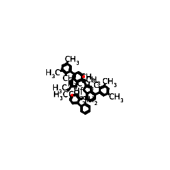 Cc1cc(C)c(C)c(-c2cccc3c2C=C(C(C)(C)C)[CH]3[Hf]([c]2cccc3c2[SiH2]c2ccccc2-3)[CH]2C(C(C)(C)C)=Cc3c(-c4cc(C)cc(C)c4C)cccc32)c1